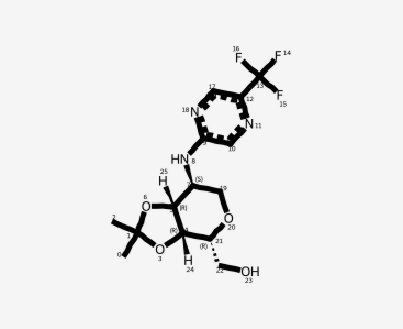 CC1(C)O[C@@H]2[C@H](O1)[C@@H](Nc1cnc(C(F)(F)F)cn1)CO[C@@H]2CO